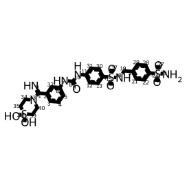 N=C(c1cccc(NC(=O)Nc2ccc(S(=O)(=O)NCc3ccc(S(N)(=O)=O)cc3)cc2)c1)N1CCS(O)(O)CC1